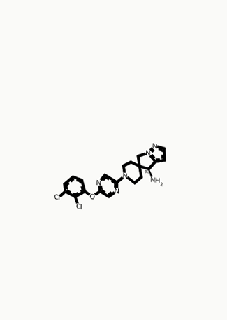 N[C@@H]1c2ccnn2CC12CCN(c1cnc(Oc3cccc(Cl)c3Cl)cn1)CC2